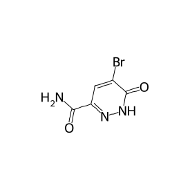 NC(=O)c1cc(Br)c(=O)[nH]n1